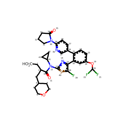 O=C(O)CC(CC1CCOCC1)C(=O)N(c1nc(-c2cc(OC(F)F)ccc2-c2ccc(N3CCCC3=O)nc2)c(F)s1)C1CC1